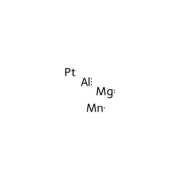 [Al].[Mg].[Mn].[Pt]